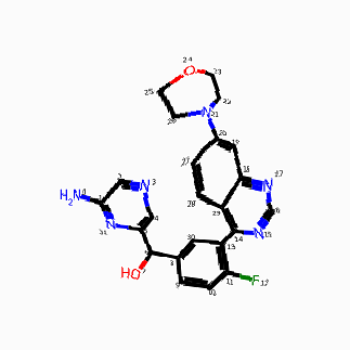 Nc1cncc(C(O)c2ccc(F)c(-c3ncnc4cc(N5CCOCC5)ccc34)c2)n1